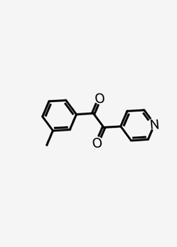 Cc1cccc(C(=O)C(=O)c2ccncc2)c1